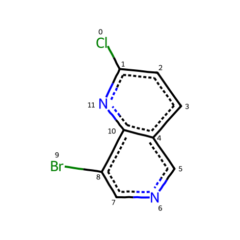 Clc1ccc2cncc(Br)c2n1